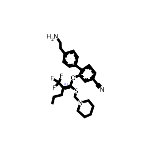 CCC/C(=C(/Oc1cc(C#N)ccc1-c1ccc(CCN)cc1)SCN1CCCCC1)C(F)(F)F